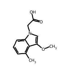 COc1[c]n(CC(=O)O)c2cccc(C)c12